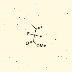 C=C(C)C(F)(F)C(=O)OC